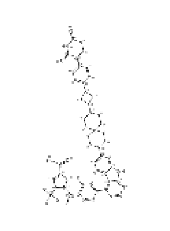 Cc1cc(-c2ncnc3[nH]c4cc(N5CCC6(CC5)CCN(C5CC(c7ccc([C@@H]8CCC(=O)NC8=O)cc7)C5)CC6)ccc4c23)ccc1[C@@H](C)N1OC(C(=O)O)=NC1C(C)(C)C